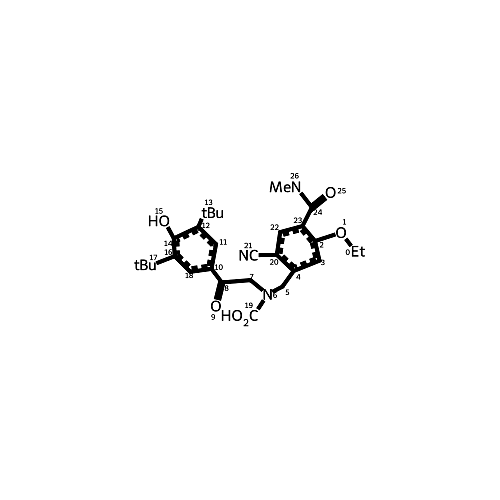 CCOc1cc(CN(CC(=O)c2cc(C(C)(C)C)c(O)c(C(C)(C)C)c2)C(=O)O)c(C#N)cc1C(=O)NC